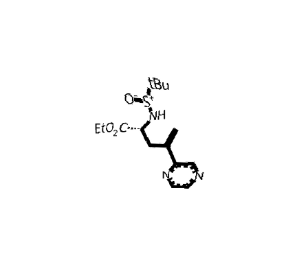 C=C(C[C@@H](N[S+]([O-])C(C)(C)C)C(=O)OCC)c1cnccn1